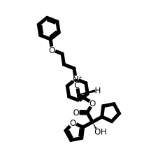 O=C(O[C@H]1C[N+]2(CCCOc3ccccc3)CCC1CC2)[C@](O)(c1ccco1)C1CCCC1